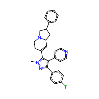 Cn1nc(-c2ccc(F)cc2)c(-c2ccncc2)c1C1=CC2CC(c3ccccc3)CN2CC1